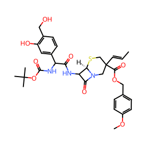 CC=CC1(C(=O)OCc2ccc(OC)cc2)CS[C@@H]2C(NC(=O)C(NC(=O)OC(C)(C)C)c3ccc(CO)c(O)c3)C(=O)N2C1